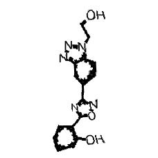 OCCn1nnc2cc(-c3noc(-c4ccccc4O)n3)ccc21